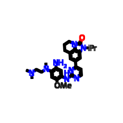 COc1cc(N(C)CCN(C)C)c(N)cc1Nc1nccc(-c2cc3c4c(c2)n(C(C)C)c(=O)n4CCC3)n1